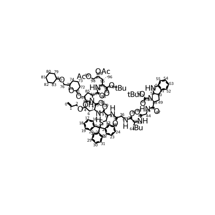 C=CCO[C@@H](O)C[C@H](NC(=O)C(CSC(c1ccccc1)(c1ccccc1)c1ccccc1)NC(=O)CNC(=O)C(NC(=O)CNC(=O)C1CC2c3ccccc3NC2N1C(=O)OC(C)(C)C)C(C)CC)C(=O)N1C[C@H](OC2CCCC(COC3CCCCC3)O2)C[C@H]1C(=O)NC(C(=O)OC(C)(C)C)[C@@H](C)[C@H](COC(C)=O)OC(C)=O